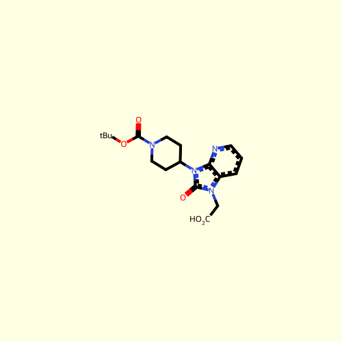 CC(C)(C)OC(=O)N1CCC(n2c(=O)n(CC(=O)O)c3cccnc32)CC1